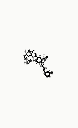 C/C=C(\N=C(/OC)C1CCCN1C(=N)N)c1ccc(OC/C=C/c2cccc(Br)c2)c(C(F)(F)F)c1